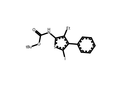 CCc1c(NC(=O)OC(C)(C)C)sc(I)c1-c1ccccc1